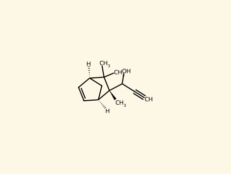 C#CC(O)[C@]1(C)[C@H]2C=C[C@H](C2)C1(C)C